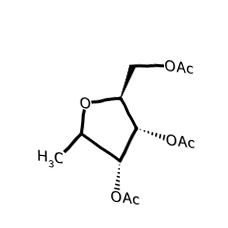 CC(=O)OC[C@@H]1OC(C)[C@@H](OC(C)=O)[C@H]1OC(C)=O